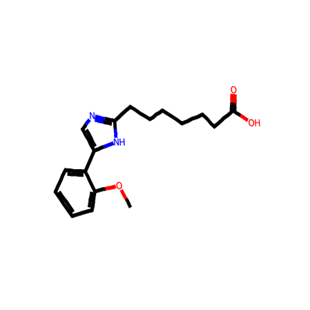 COc1ccccc1-c1cnc(CCCCCCC(=O)O)[nH]1